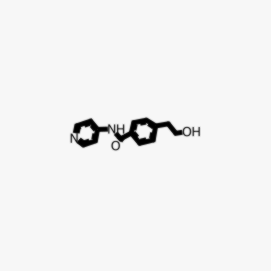 O=C(Nc1ccncc1)c1ccc(CCO)cc1